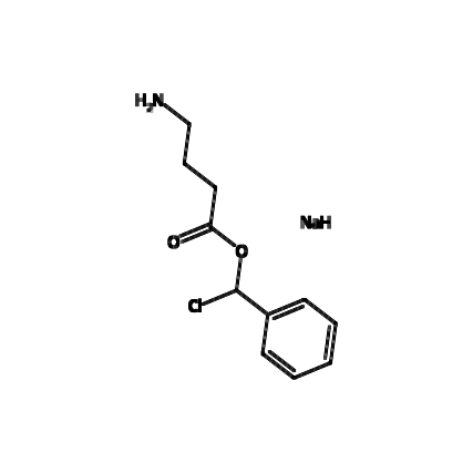 NCCCC(=O)OC(Cl)c1ccccc1.[NaH]